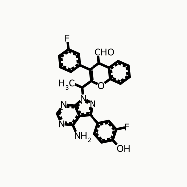 CC(C1=C(c2cccc(F)c2)C(C=O)c2ccccc2O1)n1nc(-c2ccc(O)c(F)c2)c2c(N)ncnc21